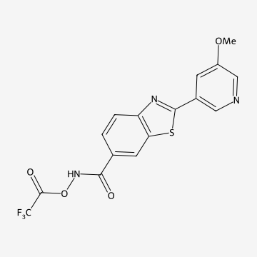 COc1cncc(-c2nc3ccc(C(=O)NOC(=O)C(F)(F)F)cc3s2)c1